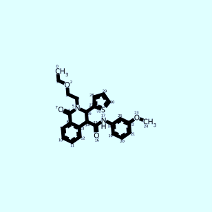 CCOCCN1C(=O)c2ccccc2C(C(=O)Nc2cccc(OC)c2)C1c1cccs1